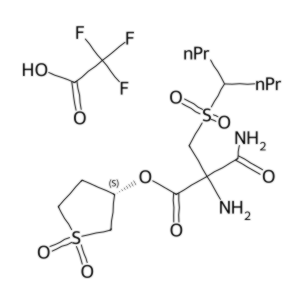 CCCC(CCC)S(=O)(=O)CC(N)(C(N)=O)C(=O)O[C@H]1CCS(=O)(=O)C1.O=C(O)C(F)(F)F